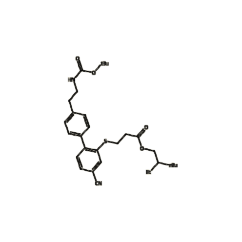 CCCCC(CC)COC(=O)CCSc1cc(C#N)ccc1-c1ccc(CCNC(=O)OC(C)(C)C)cc1